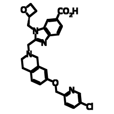 O=C(O)c1ccc2nc(CN3CCc4ccc(OCc5ccc(Cl)cn5)cc4C3)n(C[C@@H]3CCO3)c2c1